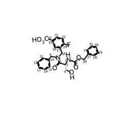 O=C(N[C@H](CO)C(=O)N(Cc1ccccc1)Cc1cc(C(=O)O)ccc1F)OCc1ccccc1